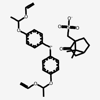 C=COC(C)Oc1ccc([I+]c2ccc(OC(C)OC=C)cc2)cc1.CC1(C)C2CCC1(CS(=O)(=O)[O-])C(=O)C2